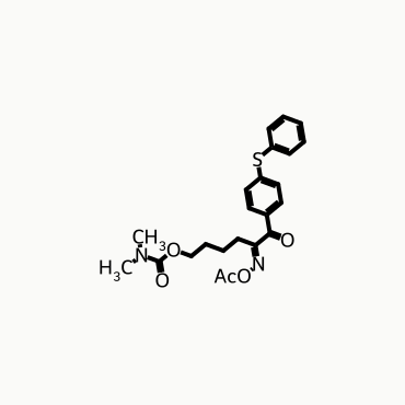 CC(=O)O/N=C(\CCCCOC(=O)N(C)C)C(=O)c1ccc(Sc2ccccc2)cc1